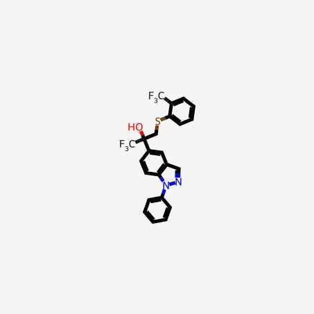 OC(CSc1ccccc1C(F)(F)F)(c1ccc2c(cnn2-c2ccccc2)c1)C(F)(F)F